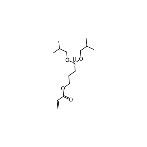 C=CC(=O)OCCC[SiH](OCC(C)C)OCC(C)C